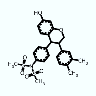 Cc1ccc(C2COc3cc(O)ccc3C2c2ccc(N(S(C)(=O)=O)S(C)(=O)=O)cc2)cc1C